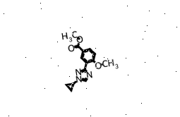 COC(=O)c1ccc(OC)c(-c2ncn(C3CC3)n2)c1